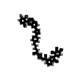 CC(Oc1cc(-c2cnn(C3CCN(CCCCC(=O)N4CC(CNc5cccc6c5CN(C5CCC(=O)NC5=O)C6=O)C4)CC3)c2)cnc1N)c1c(Cl)ccc(F)c1Cl